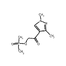 Cc1nn(C)cc1C(=O)COP(C)(C)=O